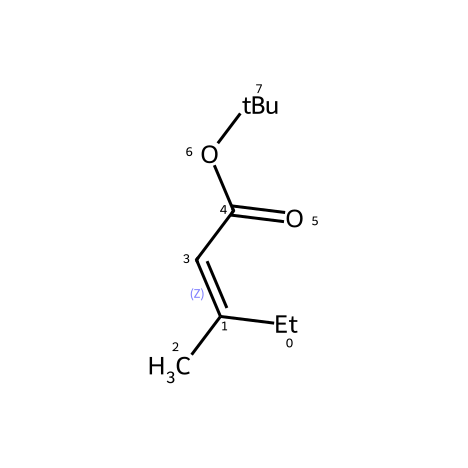 CC/C(C)=C\C(=O)OC(C)(C)C